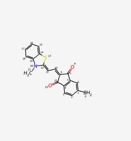 Bc1ccc2c(c1)C(=O)/C(=C/C=C1\Sc3ccccc3N1C)C2=O